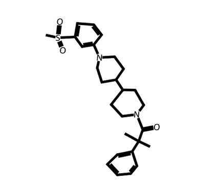 CC(C)(C(=O)N1CCC(C2CCN(c3cccc(S(C)(=O)=O)c3)CC2)CC1)c1ccccc1